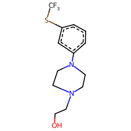 OCCN1CCN(c2cccc(SC(F)(F)F)c2)CC1